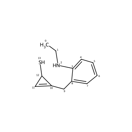 CCNc1ccccc1CC1=CC1S